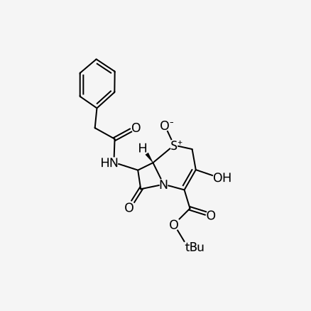 CC(C)(C)OC(=O)C1=C(O)C[S+]([O-])[C@H]2C(NC(=O)Cc3ccccc3)C(=O)N12